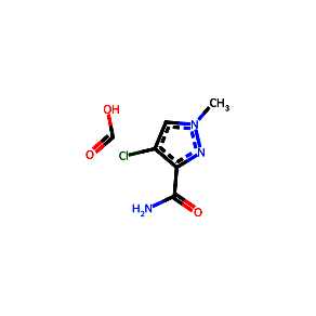 Cn1cc(Cl)c(C(N)=O)n1.O=CO